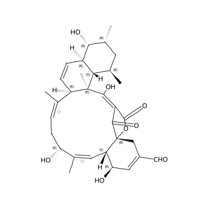 C/C1=C/[C@H]2[C@H](O)C=C(C=O)C[C@@]23OC(=O)C(=C(O)[C@]2(C)[C@@H]4[C@@H](C=C[C@@H]2/C(C)=C\C[C@H]1O)[C@H](O)[C@H](C)C[C@H]4C)C3=O